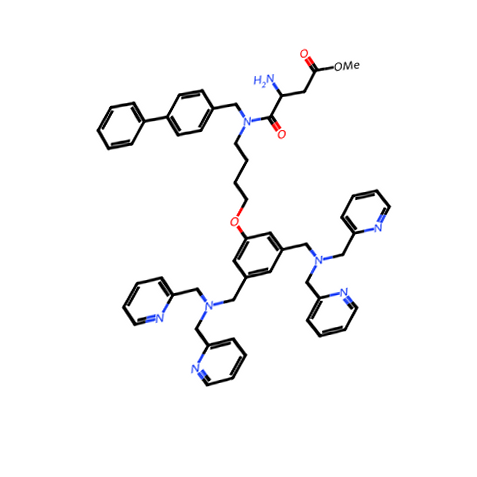 COC(=O)CC(N)C(=O)N(CCCCOc1cc(CN(Cc2ccccn2)Cc2ccccn2)cc(CN(Cc2ccccn2)Cc2ccccn2)c1)Cc1ccc(-c2ccccc2)cc1